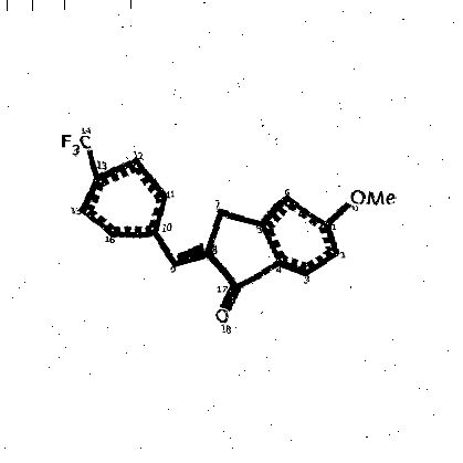 COc1ccc2c(c1)CC(=Cc1ccc(C(F)(F)F)cc1)C2=O